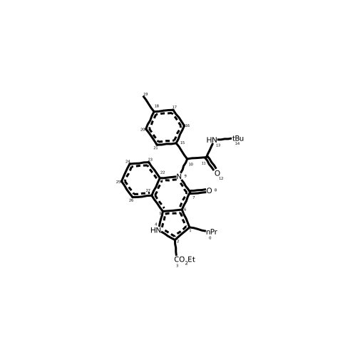 CCCc1c(C(=O)OCC)[nH]c2c1c(=O)n(C(C(=O)NC(C)(C)C)c1ccc(C)cc1)c1ccccc21